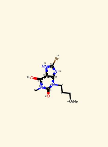 COCCCn1c(=O)n(C)c(=O)c2[nH]c(Br)nc21